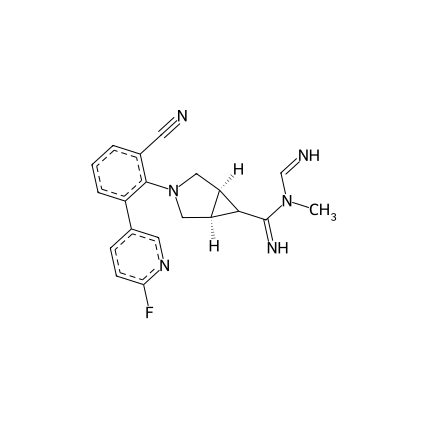 CN(C=N)C(=N)C1[C@H]2CN(c3c(C#N)cccc3-c3ccc(F)nc3)C[C@@H]12